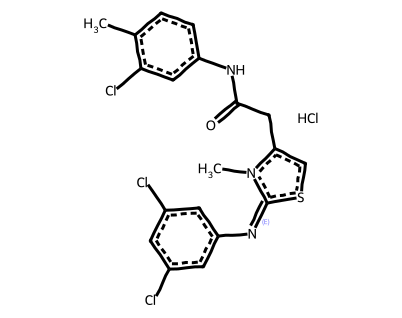 Cc1ccc(NC(=O)Cc2cs/c(=N/c3cc(Cl)cc(Cl)c3)n2C)cc1Cl.Cl